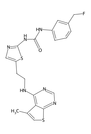 Cc1csc2ncnc(NCCc3cnc(NC(=O)Nc4cccc(CF)c4)s3)c12